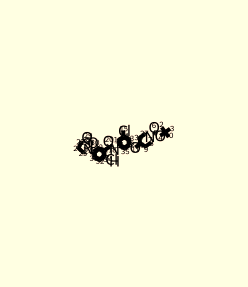 CC(C)(C)OC(=O)N1CCC(Oc2cc(Cl)cc(NC(=O)c3cc(N4CCCS4(=O)=O)ccc3Cl)c2)CC1